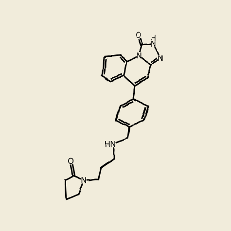 O=C1CCCN1CCCNCc1ccc(-c2cc3n[nH]c(=O)n3c3ccccc23)cc1